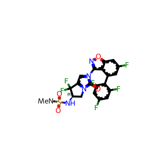 CNS(=O)(=O)N[C@@H]1Cn2c(cn(-c3noc4cc(F)cc(-c5c(F)cc(F)cc5F)c34)c2=O)C1(F)F